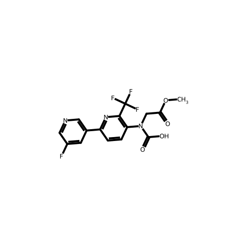 COC(=O)CN(C(=O)O)c1ccc(-c2cncc(F)c2)nc1C(F)(F)F